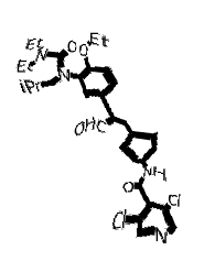 CCOc1ccc(C(C=O)Cc2ccc(NC(=O)c3c(Cl)cncc3Cl)cc2)cc1N(CC(C)C)C(=O)N(CC)CC